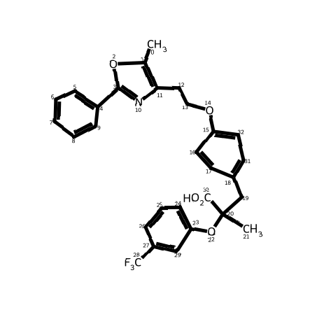 Cc1oc(-c2ccccc2)nc1CCOc1ccc(CC(C)(Oc2cccc(C(F)(F)F)c2)C(=O)O)cc1